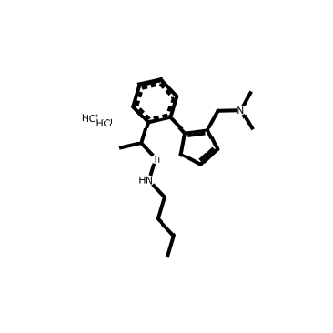 CCCC[NH][Ti][CH](C)c1ccccc1C1=C(CN(C)C)C=CC1.Cl.Cl